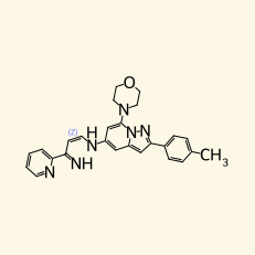 Cc1ccc(-c2cc3cc(N/C=C\C(=N)c4ccccn4)cc(N4CCOCC4)n3n2)cc1